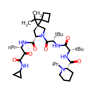 CCC[C@H](NC(=O)[C@@H]1C[C@@]2(CN1C(=O)[C@@H](NC(=O)[C@@H](NC(=O)[C@@H]1CCCCN1C(C)C)C(C)(C)C)C(C)(C)C)C(C)(C)C21CCC1)C(=O)C(=O)NC1CC1